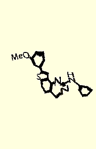 COc1cccc(-c2cc3c(s2)CCc2cnc(Nc4ccccc4)nc2-3)c1